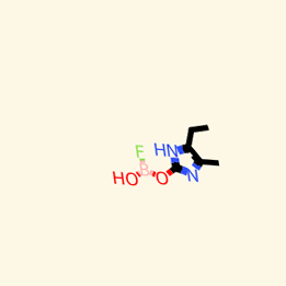 CCc1[nH]c(OB(O)F)nc1C